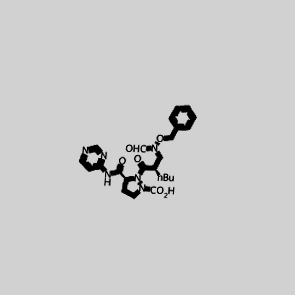 CCCC[C@H](CN(C=O)OCc1ccccc1)C(=O)N1[C@H](C(=O)Nc2ccncn2)CCN1C(=O)O